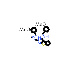 COc1cccc(CNc2nc(CN(C)Cc3cccc(OC)c3)nc3sc4c(c23)CCC4)c1